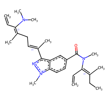 C=C/C(=C(\C)C/C=C(\C)c1nn(C)c2ccc(C(=O)N(C)/C(C=C)=C(\C)CC)cc12)N(C)C